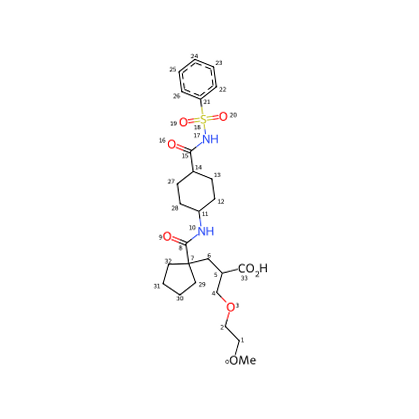 COCCOCC(CC1(C(=O)NC2CCC(C(=O)NS(=O)(=O)c3ccccc3)CC2)CCCC1)C(=O)O